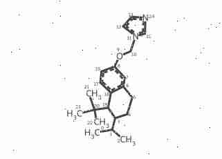 CC(C)C1CCc2cc(OCn3ccnc3)ccc2C1C(C)(C)C